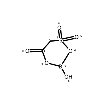 O=C1CS(=O)(=O)OB(O)O1